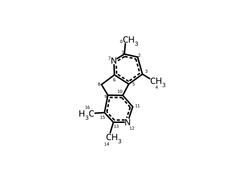 Cc1cc(C)c2c(n1)Cc1c-2cnc(C)c1C